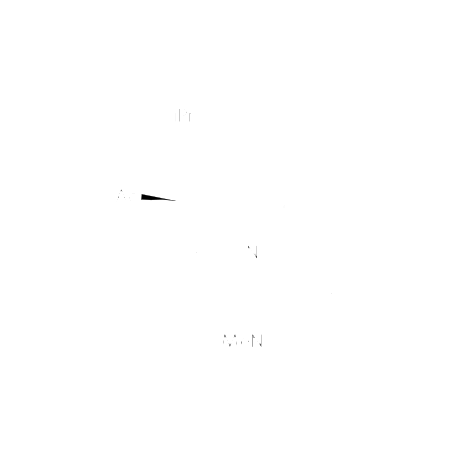 CNC1CCCN1C[C@H](CC(C)C)C(C)=O